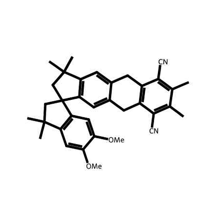 COc1cc2c(cc1OC)C1(CC(C)(C)c3cc4c(cc31)Cc1c(C#N)c(C)c(C)c(C#N)c1C4)CC2(C)C